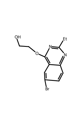 CCc1nc(OCCO)c2cc(Br)ccc2n1